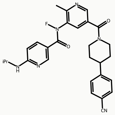 Cc1ncc(C(=O)N2CCC(c3ccc(C#N)cc3)CC2)cc1N(F)C(=O)c1ccc(NC(C)C)nc1